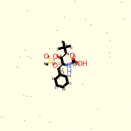 CC(C)(C)C[C@H](OS(C)(=O)=O)[C@H](CC1CCCCC1)NC(=O)O